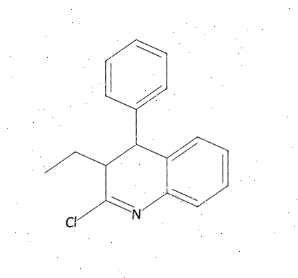 CCC1C(Cl)=Nc2ccccc2C1c1ccccc1